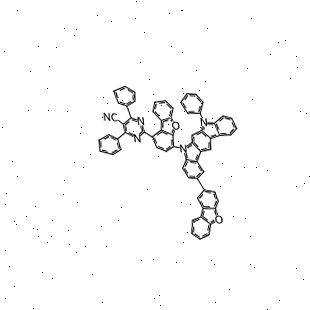 N#Cc1c(-c2ccccc2)nc(-c2ccc(-n3c4ccc(-c5ccc6oc7ccccc7c6c5)cc4c4cc5c6ccccc6n(-c6ccccc6)c5cc43)c3oc4ccccc4c23)nc1-c1ccccc1